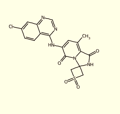 Cc1cc(Nc2ncnc3cc(Cl)ccc23)c(=O)n2c1C(=O)NC21CS(=O)(=O)C1